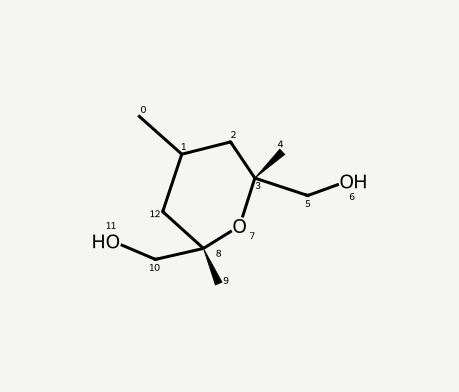 CC1C[C@](C)(CO)O[C@](C)(CO)C1